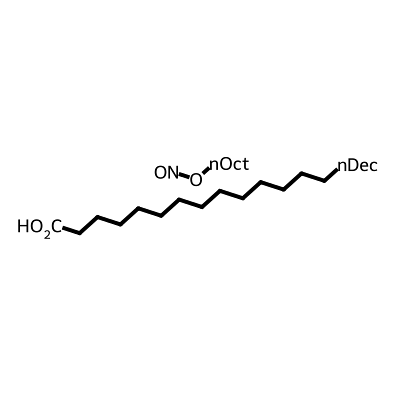 CCCCCCCCCCCCCCCCCCCCCCCC(=O)O.CCCCCCCCON=O